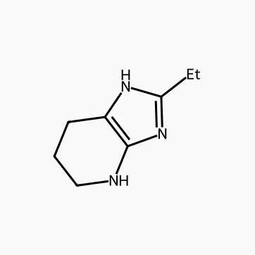 CCc1nc2c([nH]1)CCCN2